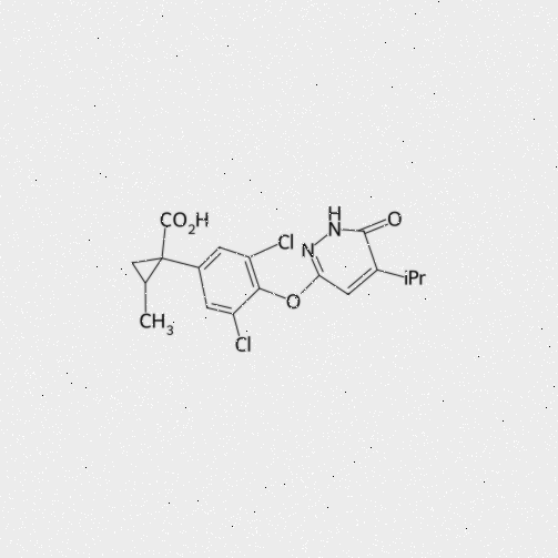 CC(C)c1cc(Oc2c(Cl)cc(C3(C(=O)O)CC3C)cc2Cl)n[nH]c1=O